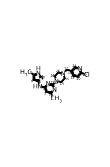 Cc1cc(Nc2cc(C)[nH]n2)nc(N2CCN(Cc3ccc(Cl)nc3)CC2)n1